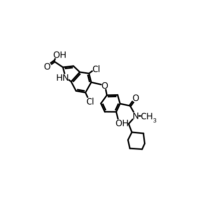 CN(CC1CCCCC1)C(=O)c1cc(Oc2c(Cl)cc3[nH]c(C(=O)O)cc3c2Cl)ccc1O